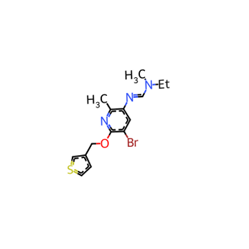 CCN(C)/C=N/c1cc(Br)c(OCc2ccsc2)nc1C